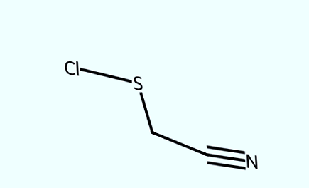 N#CCSCl